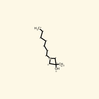 CCCCCCCN1CC(C)(O)C1